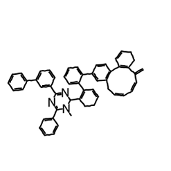 C=C1/C=C\C=C/Cc2cc(-c3ccccc3C3=C(C4N=C(c5cccc(-c6ccccc6)c5)N=C(c5ccccc5)N4C)CCC=C3)ccc2C2=C1CCC=C2